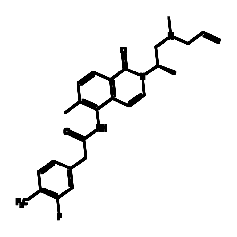 C=CCN(C)C[C@@H](C)n1ccc2c(NC(=O)Cc3ccc(C(F)(F)F)c(F)c3)c(C)ccc2c1=O